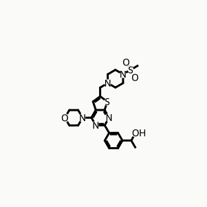 CC(O)c1cccc(-c2nc(N3CCOCC3)c3cc(CN4CCN(S(C)(=O)=O)CC4)sc3n2)c1